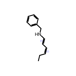 CC/C=C\C=C\NCc1ccccc1